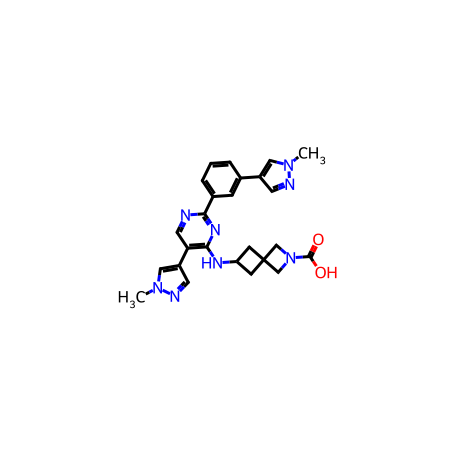 Cn1cc(-c2cccc(-c3ncc(-c4cnn(C)c4)c(NC4CC5(C4)CN(C(=O)O)C5)n3)c2)cn1